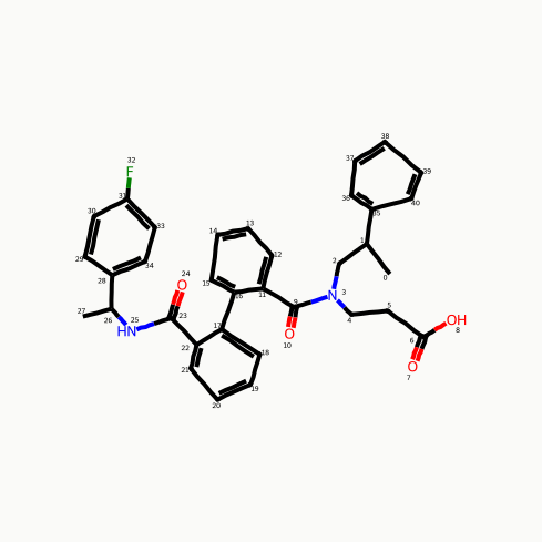 CC(CN(CCC(=O)O)C(=O)c1ccccc1-c1ccccc1C(=O)NC(C)c1ccc(F)cc1)c1ccccc1